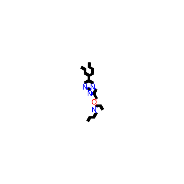 C=C/C=C\N=C(/C=C)OCc1cn2cc(C(/C=C\C=C)=C/C=C)cnc2n1